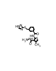 Cc1csc(NC(=O)c2cccc(CSc3nc[nH]n3)c2)c1C(=O)NN